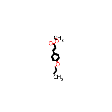 CCCCOc1ccc(C=CC(=O)OC)cc1